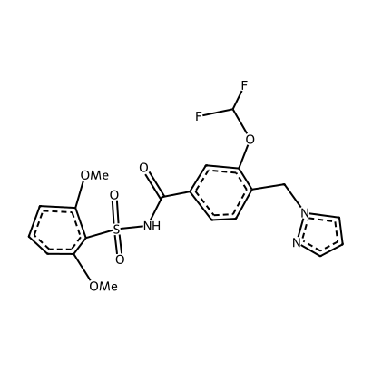 COc1cccc(OC)c1S(=O)(=O)NC(=O)c1ccc(Cn2cccn2)c(OC(F)F)c1